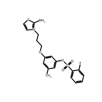 Cc1cc(OCCC[n+]2ccsc2N)cc(OS(=O)(=O)c2ccccc2F)c1